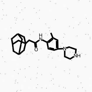 Cc1cc(N2CCNCC2)ccc1NC(=O)CC12CC3CC(CC(C3)C1)C2